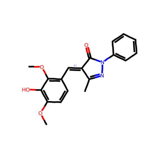 COc1ccc(/C=C2/C(=O)N(c3ccccc3)N=C2C)c(OC)c1O